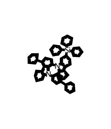 c1ccc(-c2ccc(-n3c4ccccc4c4c(-c5ccccc5)ccc(-n5c6ccccc6c6ccc([Si](c7ccccc7)(c7ccccc7)c7ccccc7)cc65)c43)cc2)cc1